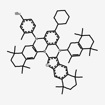 CC1=CC2=C(CC1N1c3cc(C4CCCCC4)cc4c3B(C3=C(CC5C(=C3)C(C)(C)CCC5(C)C)N4c3ccc(C(C)(C)C)cc3C)c3oc4cc5c(cc4c31)C(C)(C)CCC5(C)C)C(C)(C)CCC2(C)C